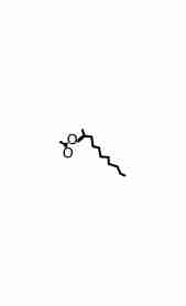 CCCCCCCCCC(C)=COC(C)=O